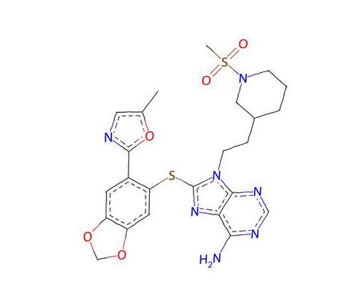 Cc1cnc(-c2cc3c(cc2Sc2nc4c(N)ncnc4n2CCC2CCCN(S(C)(=O)=O)C2)OCO3)o1